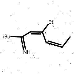 C/C=C\C(=C/C(=N)C(C)CC)CC